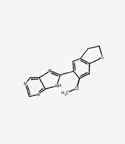 COc1cc2c(cc1-c1nc3cncnc3[nH]1)CCS2